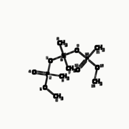 COP(C)(=O)O[Si](C)(C)OP(C)(=O)OC